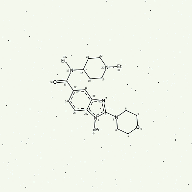 CCCn1c(N2CCOCC2)nc2cc(C(=O)N(CC)C3CCN(CC)CC3)ccc21